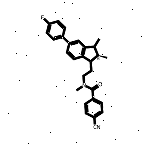 CC1c2cc(-c3ccc(F)cc3)ccc2C(CCN(C)C(=O)c2ccc(C#N)cc2)[C@@H]1C